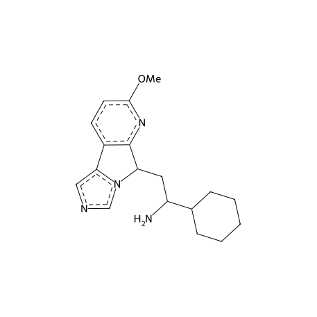 COc1ccc2c(n1)C(CC(N)C1CCCCC1)n1cncc1-2